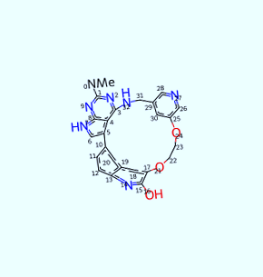 CNc1nc2c3c(c[nH]c3n1)-c1ccc3nc(O)c(cc3c1)OCCOc1cncc(c1)CN2